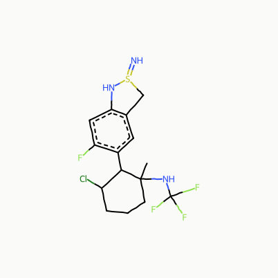 CC1(NC(F)(F)F)CCCC(Cl)C1c1cc2c(cc1F)NS(=N)C2